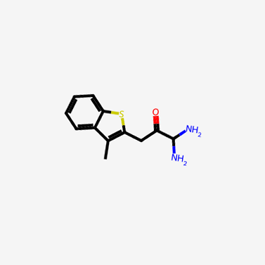 Cc1c(CC(=O)C(N)N)sc2ccccc12